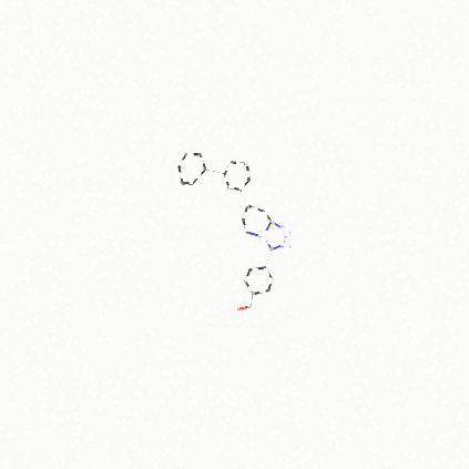 Cc1c(-c2ccccc2)cccc1-c1ccn2c(-c3ccc(C=O)cc3)nnc2c1